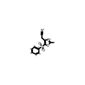 Cc1nc(CC#N)c(S(=O)(=O)c2ccccc2)o1